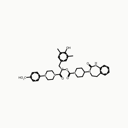 Cc1cc(C[C@@H](OC(=O)N2CCC(N3CCc4ccccc4NC3=O)CC2)C(=O)N2CCN(c3ccc(C(=O)O)cc3)CC2)cc(C)c1O